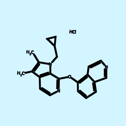 Cc1c(C)n(CC2CC2)c2c(Oc3cccc4cnccc34)nccc12.Cl